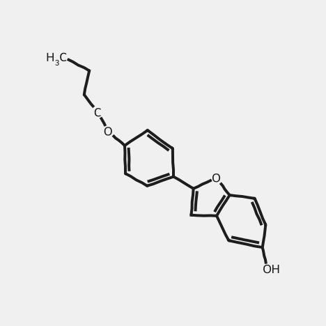 CCCCOc1ccc(-c2cc3cc(O)ccc3o2)cc1